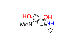 CNc1c(O)ccc2c1CC[C@@H](NC1CCC1)[C@@H]2O